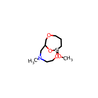 CO[Si]12CCCOCC(CN(C)CCO1)O2